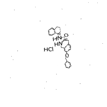 Cl.O=C(N[C@H]1CCCc2ccccc21)[C@@H]1Cc2ccc(OCc3ccccc3)cc2CN1